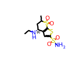 CCN[C@@H]1CC(C)S(=O)(=O)c2sc(S(N)(=O)=O)cc21